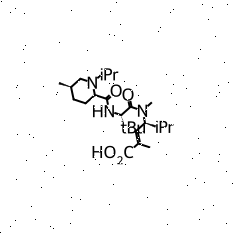 C/C(=C\[C@H](C(C)C)N(C)C(=O)[C@@H](NC(=O)C1CC[C@@H](C)CN1C(C)C)C(C)(C)C)C(=O)O